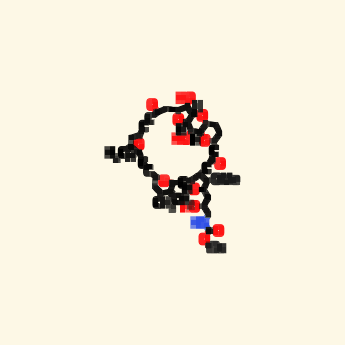 C=C1C(C)CC2CC[C@@H]3OC(CCC(=O)CC4O[C@H]5C(O)[C@H]6OC(CCC6O[C@H]5C4O)CC(=O)CC4[C@H](CC1O2)O[C@H](CC(O)CNC(=O)OC(C)(C)C)[C@@H]4OC)CC3=C